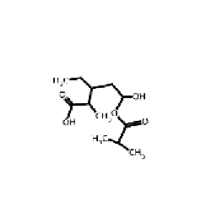 CCC(CC(O)OC(=O)C(C)C)C(C)C(=O)O